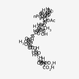 CCCC(=O)OCN(C(=O)[C@@H](NC(=O)[C@H]1CCCCN1C)C(C)CC)[C@H](C[C@@H](OC(C)=O)c1nc(C(=O)N[C@@H](C)C[C@@H](C(=O)NNC(=O)OCCSSCCNC(=O)[C@H](C)NC(=O)[C@H](CC(=O)O)NC(=O)Cc2ccc(CNC(=O)NCCCC[C@H](NC(=O)N[C@@H](CCC(=O)O)C(=O)O)C(=O)O)cc2)c2cc(O)ccc2C)cs1)C(C)C